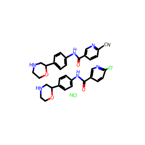 Cl.N#Cc1ccc(C(=O)Nc2ccc(C3CNCCO3)cc2)cn1.O=C(Nc1ccc(C2CNCCO2)cc1)c1ccc(Cl)nc1